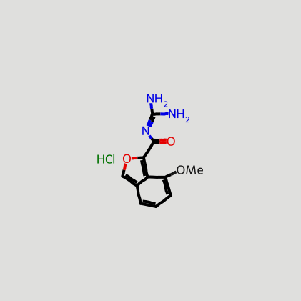 COc1cccc2coc(C(=O)N=C(N)N)c12.Cl